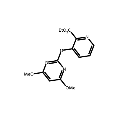 CCOC(=O)c1ncccc1Oc1nc(OC)cc(OC)n1